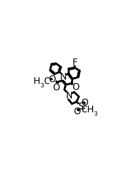 COC(=O)c1c(CN2CCC(S(C)(=O)=O)CC2)c(=O)c2ccc(F)cc2n1-c1ccccc1